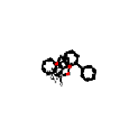 [CH3][Ti]([CH3])([CH3])([CH3])([CH3])([Cl])([Cl])([O]c1c(-c2ccccc2)cccc1-c1ccccc1)[C]1=CC=CC1